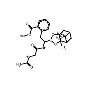 CC(C)(C)OC(=O)c1ccccc1CC(NC(=O)CNC(N)=O)B1OC2CC3CC(C3(C)C)C2(C)O1